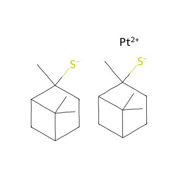 CC1([S-])CCC2CC1C2(C)C.CC1([S-])CCC2CC1C2(C)C.[Pt+2]